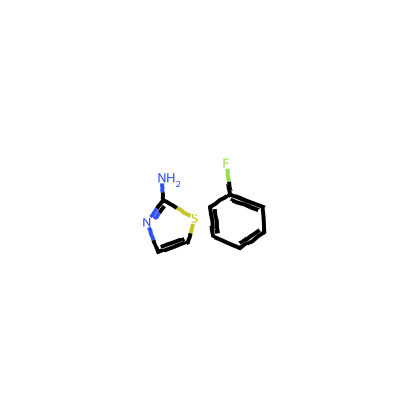 Fc1ccccc1.Nc1nccs1